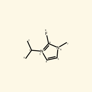 CC(C)[n+]1ccn(C)c1F